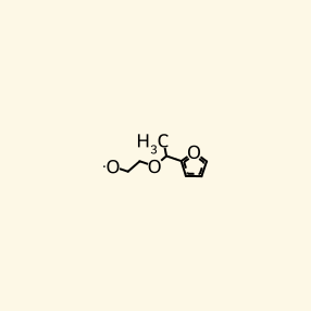 CC(OCC[O])c1ccco1